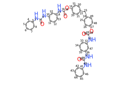 O=C(Nc1ccccc1)Nc1cccc(NC(=O)Oc2ccc(Cc3ccc(OC(=O)Nc4cccc(NC(=O)Nc5ccccc5)c4)cc3)cc2)c1